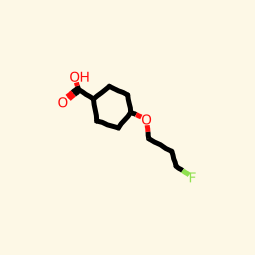 O=C(O)C1CCC(OCCCF)CC1